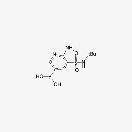 CC(C)(C)NS(=O)(=O)c1cc(B(O)O)cnc1N